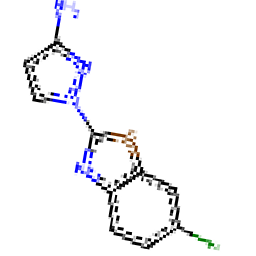 Nc1ccn(-c2nc3ccc(Br)cc3s2)n1